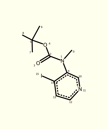 CN(C(=O)OC(C)(C)C)c1cnccc1I